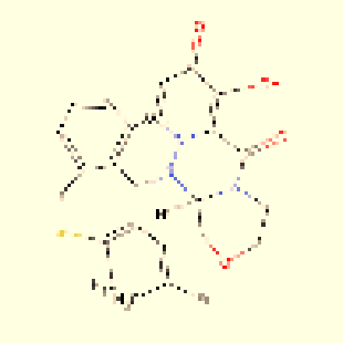 CCC(C)=CC1=C(C)SCc2cccc(C)c2[C@@H]1N1[C@@H]2COCCN2C(=O)c2c(O)c(=O)ccn21